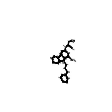 Cc1nc(OC(=O)CO)cc2c3ccccc3n(CCCc3ccccc3)c12